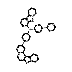 c1ccc(-c2ccc(N(c3ccc(-c4ccc5ccc6oc7ccccc7c6c5c4)cc3)c3cccc4c3sc3ccccc34)cc2)cc1